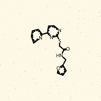 O=C(CSc1nccc(-c2ccccn2)n1)NCc1ccco1